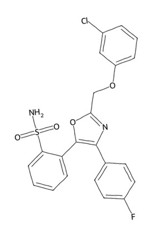 NS(=O)(=O)c1ccccc1-c1oc(COc2cccc(Cl)c2)nc1-c1ccc(F)cc1